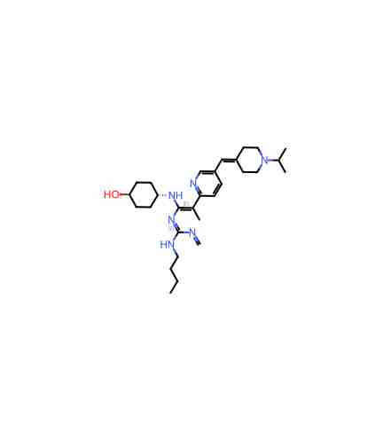 C=N/C(=N\C(N[C@H]1CC[C@H](O)CC1)=C(/C)c1ccc(C=C2CCN(C(C)C)CC2)cn1)NCCCC